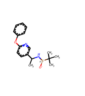 CC(N[S@+]([O-])C(C)(C)C)c1ccc(Oc2ccccc2)nc1